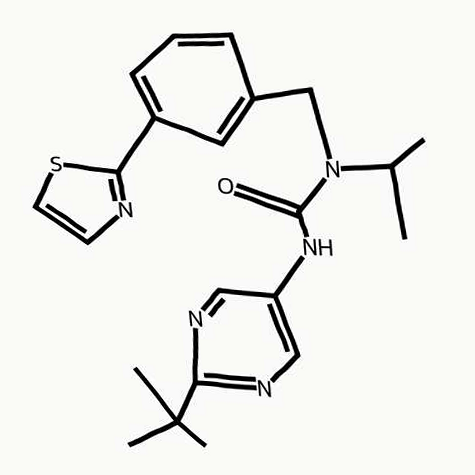 CC(C)N(Cc1cccc(-c2nccs2)c1)C(=O)Nc1cnc(C(C)(C)C)nc1